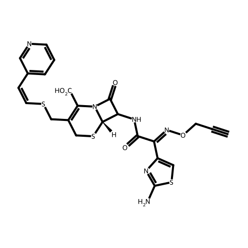 C#CCON=C(C(=O)NC1C(=O)N2C(C(=O)O)=C(CS/C=C\c3cccnc3)CS[C@@H]12)c1csc(N)n1